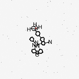 N#Cc1ccc(-c2nc(-c3ccccc3)nc(-c3cccc4oc5ccccc5c34)n2)c2cc(-c3ccc(C45C[C@H]6C[C@H](C4)C[C@@H](C5)C6)cc3)ccc12